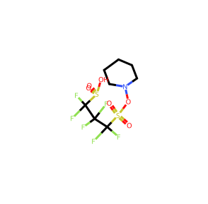 O=S(=O)(O)C(F)(F)C(F)(F)C(F)(F)S(=O)(=O)ON1CCCCC1